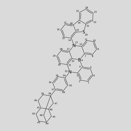 c1ccc2c(c1)B1c3ccccc3N(c3cccc4c3sc3ccccc34)c3cccc(c31)N2c1ccc(C23CCC4CCC(CC4C2)C3)cc1